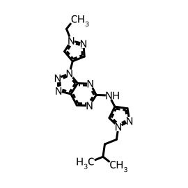 CCn1cc(-n2nnc3cnc(Nc4cnn(CCC(C)C)c4)nc32)cn1